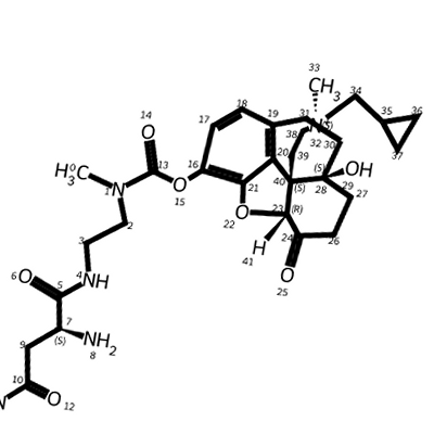 CN(CCNC(=O)[C@@H](N)CC(N)=O)C(=O)Oc1ccc2c3c1O[C@H]1C(=O)CC[C@@]4(O)C(C2)[N@+](C)(CC2CC2)CC[C@]314